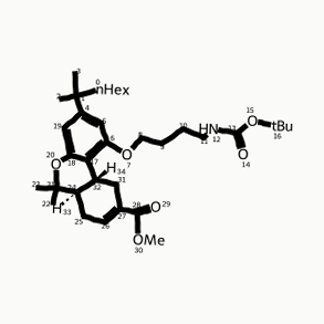 CCCCCCC(C)(C)c1cc(OCCCCNC(=O)OC(C)(C)C)c2c(c1)OC(C)(C)[C@@H]1CC=C(C(=O)OC)C[C@@H]21